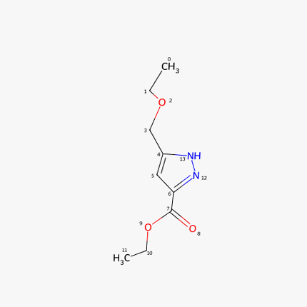 CCOCc1cc(C(=O)OCC)n[nH]1